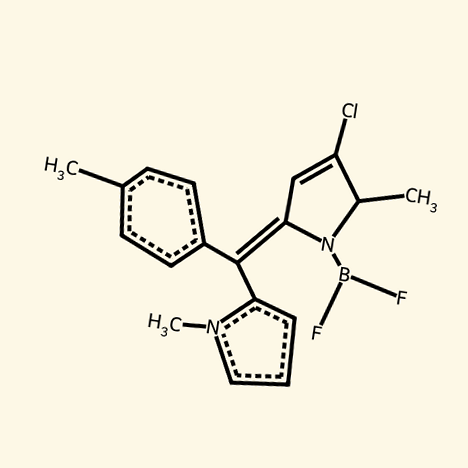 Cc1ccc(/C(=C2\C=C(Cl)C(C)N2B(F)F)c2cccn2C)cc1